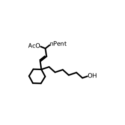 CCCCCC(C=CC1(CCCCCCO)CCCCC1)OC(C)=O